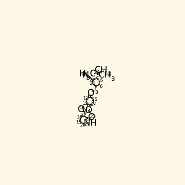 CC(C)(C)c1ccc(COc2ccc(OC(=O)c3ccc[nH]c3=O)cc2)cc1C#N